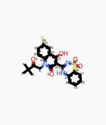 CC(C)(C)C(=O)Cn1c(=O)c(C2=NS(=O)(=O)c3ccccc3N2)c(O)c2cc(F)ccc21